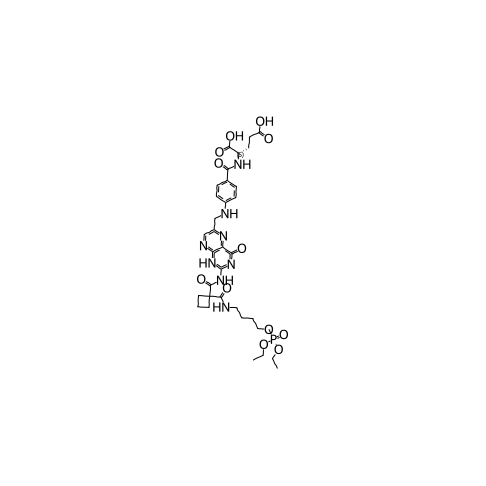 CCOP(=O)(OCC)OCCCCNC(=O)C1(C(=O)Nc2nc(=O)c3nc(CNc4ccc(C(=O)N[C@@H](CCC(=O)O)C(=O)O)cc4)cnc3[nH]2)CCC1